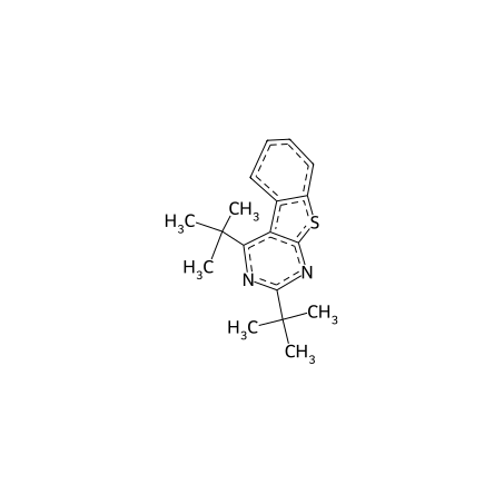 CC(C)(C)c1nc(C(C)(C)C)c2c(n1)sc1ccccc12